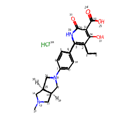 CCc1c(-c2ccc(N3C[C@H]4CN(C)C[C@H]4C3)cc2)[nH]c(=O)c(C(=O)O)c1O.Cl